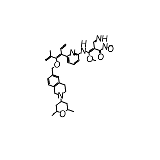 C=C/C(=C(/OCc1ccc2c(c1)CCN(C1CC(C)OC(C)C1)C2)C(=C)C)c1cccc(N/C(OC)=C(\C=N)C(=O)N=O)n1